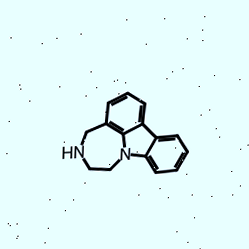 c1ccc2c(c1)c1cccc3c1n2CCNC3